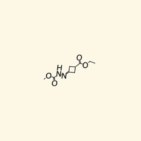 CCOC(=O)C1CC(=NNC(=O)OC)C1